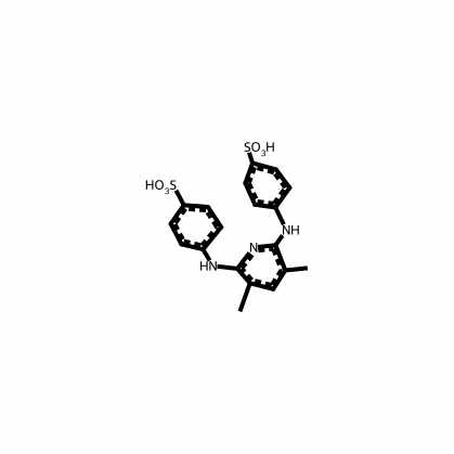 Cc1cc(C)c(Nc2ccc(S(=O)(=O)O)cc2)nc1Nc1ccc(S(=O)(=O)O)cc1